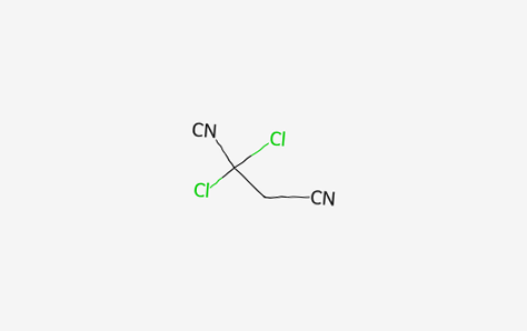 [C-]#[N+]C(Cl)(Cl)CC#N